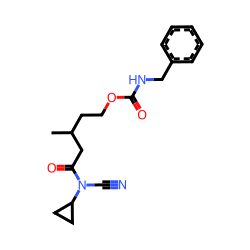 CC(CCOC(=O)NCc1ccccc1)CC(=O)N(C#N)C1CC1